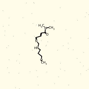 COCCCNC/N=C\C=C\C(=O)N(C)C